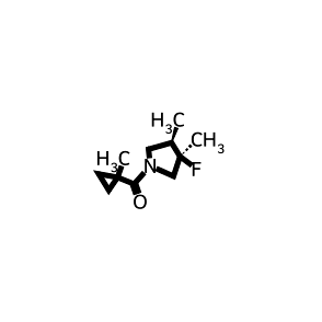 C[C@@H]1CN(C(=O)C2(C)CC2)C[C@]1(C)F